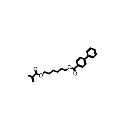 C=C(C)C(=O)OCCCCCCOC(=O)c1ccc(-c2ccccc2)cc1